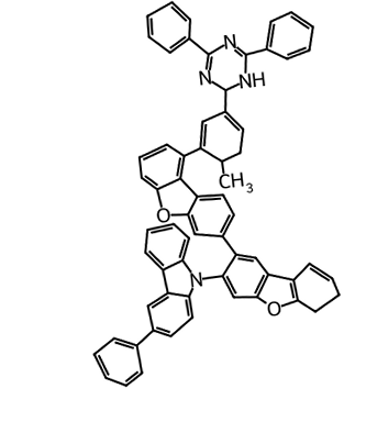 CC1CC=C(C2N=C(c3ccccc3)N=C(c3ccccc3)N2)C=C1c1cccc2oc3cc(-c4cc5c6c(oc5cc4-n4c5ccccc5c5cc(-c7ccccc7)ccc54)CCC=C6)ccc3c12